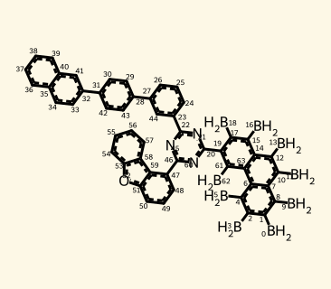 Bc1c(B)c(B)c2c(c1B)c(B)c(B)c1c(B)c(B)c(-c3nc(-c4cccc(-c5ccc(-c6ccc7ccccc7c6)cc5)c4)nc(-c4cccc5oc6ccccc6c45)n3)c(B)c12